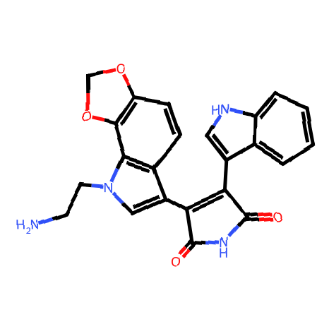 NCCn1cc(C2=C(c3c[nH]c4ccccc34)C(=O)NC2=O)c2ccc3c(c21)OCO3